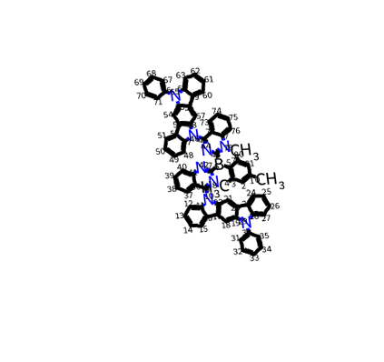 Cc1cc(C)c(B(c2nc(-n3c4ccccc4c4cc5c(cc43)c3ccccc3n5-c3ccccc3)c3ccccc3n2)c2nc(-n3c4ccccc4c4cc5c(cc43)c3ccccc3n5-c3ccccc3)c3ccccc3n2)c(C)c1